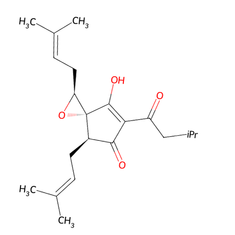 CC(C)=CC[C@@H]1O[C@@]12C(O)=C(C(=O)CC(C)C)C(=O)[C@H]2CC=C(C)C